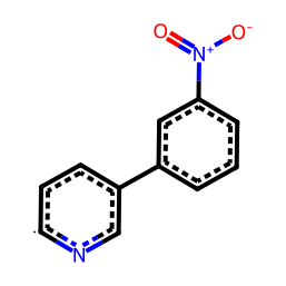 O=[N+]([O-])c1cccc(-c2cc[c]nc2)c1